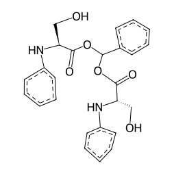 O=C(OC(OC(=O)[C@H](CO)Nc1ccccc1)c1ccccc1)[C@H](CO)Nc1ccccc1